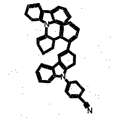 N#CC1=CC=C(n2c3c(c4ccccc42)C=C(c2ccccc2C2CCCC=C2n2c4c(c5ccccc52)C=CCC4)CC3)CC1